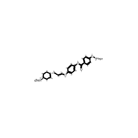 CCCCCCCOc1ccc(C(=O)Oc2ccc(OCCC[C@H]3CC[C@H](CCCCC)CC3)cc2)cc1